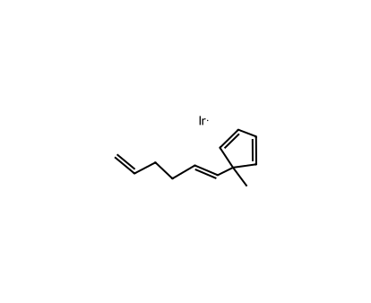 C=CCCC=CC1(C)C=CC=C1.[Ir]